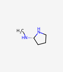 CN[C@H]1CCCN1